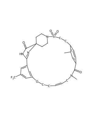 Cc1cc2ccc1CCS(=O)(=O)N1CCC3(CC1)N=C(NC3=O)c1cc(cc(C(F)(F)F)c1)OCC/C=C\CN(C)C2=O